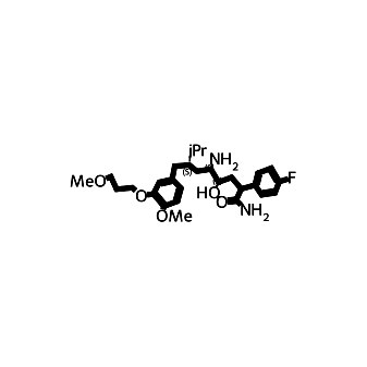 COCCCOc1cc(C[C@@H](C[C@H](N)[C@@H](O)CC(C(N)=O)c2ccc(F)cc2)C(C)C)ccc1OC